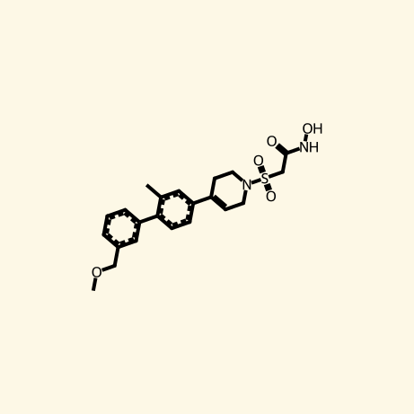 COCc1cccc(-c2ccc(C3=CCN(S(=O)(=O)CC(=O)NO)CC3)cc2C)c1